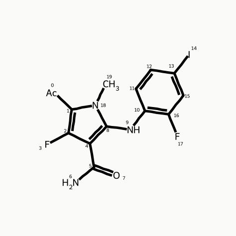 CC(=O)c1c(F)c(C(N)=O)c(Nc2ccc(I)cc2F)n1C